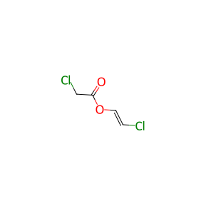 O=C(CCl)OC=CCl